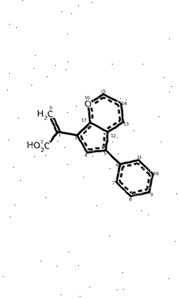 C=C(C(=O)O)c1cc(-c2ccccc2)c2cccoc1-2